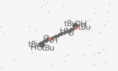 CC(C)(C)c1cc(CCC(=O)NCCCCCCCCCCCCNC(=O)CCc2cc(C(C)(C)C)c(O)c(C(C)(C)C)c2)cc(C(C)(C)C)c1O